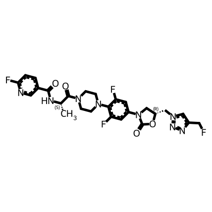 C[C@H](NC(=O)c1ccc(F)nc1)C(=O)N1CCN(c2c(F)cc(N3C[C@H](Cn4cc(CF)nn4)OC3=O)cc2F)CC1